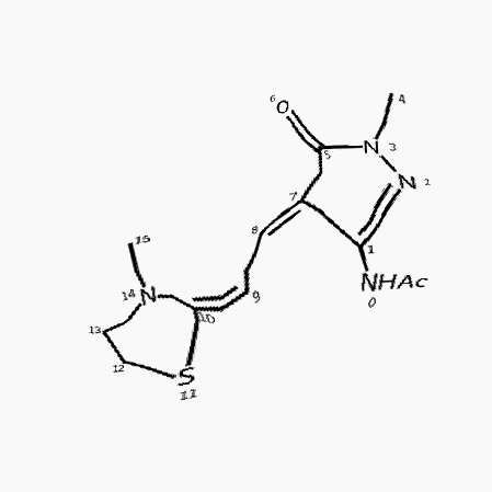 CC(=O)NC1=NN(C)C(=O)/C1=C/C=C1/SCCN1C